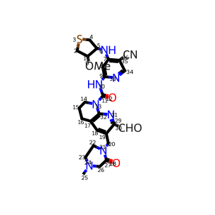 COC1CSCC1Nc1cc(NC(=O)N2CCCc3cc(CN4CCN(C)CC4=O)c(C=O)nc32)ncc1C#N